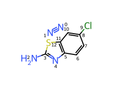 N#N.Nc1nc2ccc(Cl)cc2s1